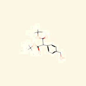 CC(C)(C)OC(=O)C(C(=O)OC(C)(C)C)c1ccc(CO)cc1